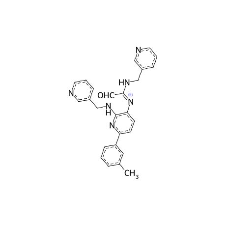 Cc1cccc(-c2ccc(/N=C(\C=O)NCc3cccnc3)c(NCc3cccnc3)n2)c1